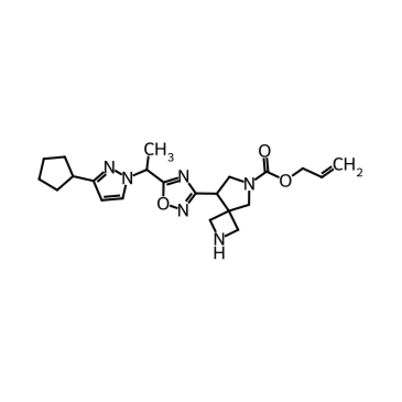 C=CCOC(=O)N1CC(c2noc(C(C)n3ccc(C4CCCC4)n3)n2)C2(CNC2)C1